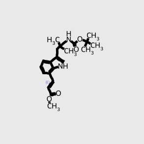 COC(=O)/C=C/c1cccc2c(CC(C)(C)NC(=O)OC(C)(C)C)c[nH]c12